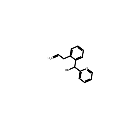 C=CCc1ccccc1C(O)c1ccccn1